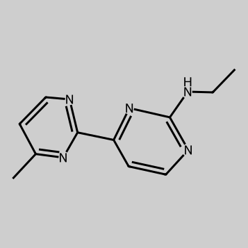 CCNc1nccc(-c2nccc(C)n2)n1